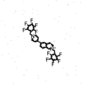 Fc1c(F)c(F)c(C[n+]2ccc(-c3ccc4c[n+](Cc5c(F)c(F)c(F)c(F)c5F)ccc4c3)cc2)c(F)c1F